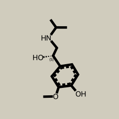 COc1cc([C@H](O)CNC(C)C)ccc1O